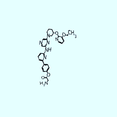 CCOc1cccnc1O[C@@H]1CCCN(c2cncc(Nc3cccc(-c4ccc(OC(=O)CN)cc4)n3)n2)C1